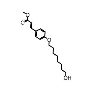 COC(=O)C=Cc1ccc(OCCCCCCCCO)cc1